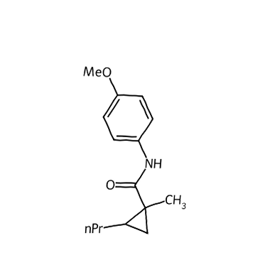 CCCC1CC1(C)C(=O)Nc1ccc(OC)cc1